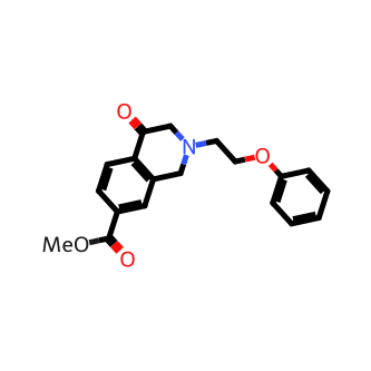 COC(=O)c1ccc2c(c1)CN(CCOc1ccccc1)CC2=O